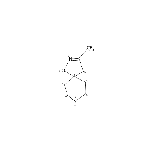 FC(F)(F)C1=NOC2(CCNCC2)C1